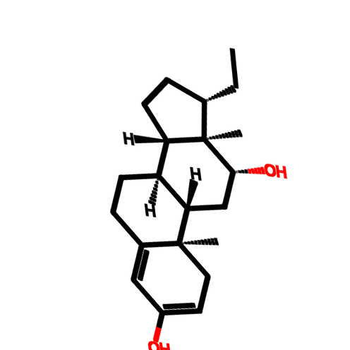 CC[C@H]1CC[C@H]2[C@@H]3CCC4=CC(O)=CC[C@]4(C)[C@H]3C[C@@H](O)[C@]12C